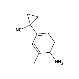 CC1=CC(C2(C#N)CC2)=CCC1N